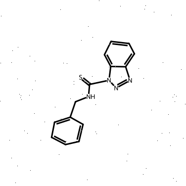 S=C(NCc1ccccc1)n1nnc2ccccc21